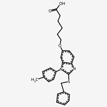 Cc1ccc(-n2c(SCc3ccccc3)nc3ccc(OCCCCCC(=O)O)cc32)cc1